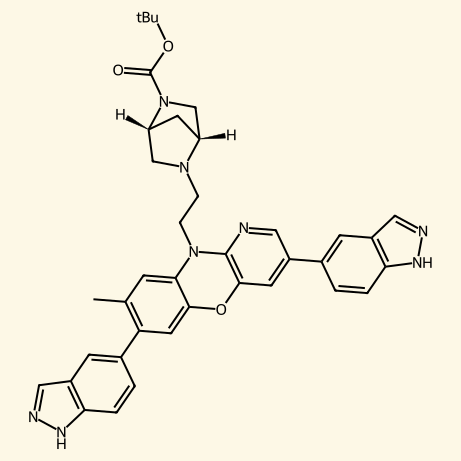 Cc1cc2c(cc1-c1ccc3[nH]ncc3c1)Oc1cc(-c3ccc4[nH]ncc4c3)cnc1N2CCN1C[C@H]2C[C@@H]1CN2C(=O)OC(C)(C)C